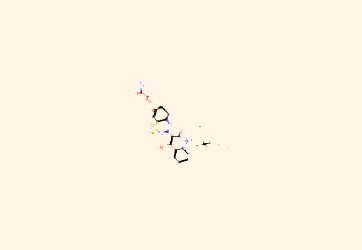 CC(C)(C)CCn1c(=O)c(C2=NS(=O)(=O)c3cc(OCC(N)=O)ccc3N2)c(O)c2ccccc21